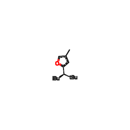 CCC(C)[C@@H](c1cc(C)co1)C(C)(C)C